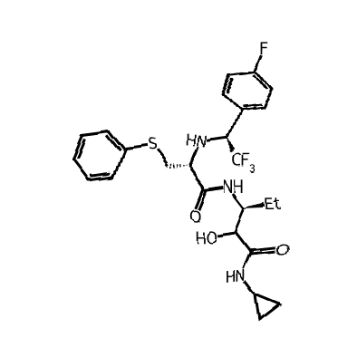 CC[C@H](NC(=O)[C@H](CSc1ccccc1)N[C@@H](c1ccc(F)cc1)C(F)(F)F)C(O)C(=O)NC1CC1